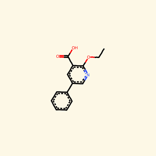 CCOc1ncc(-c2ccccc2)cc1C(=O)O